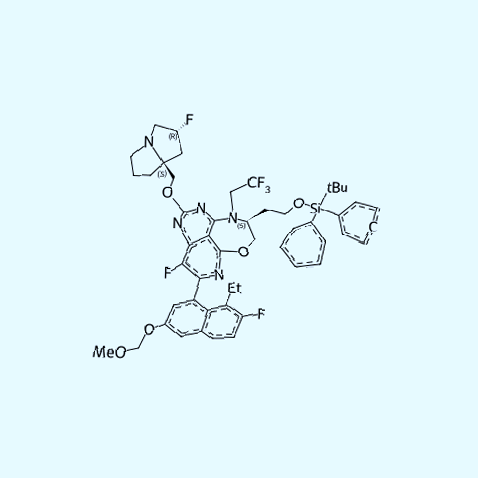 CCc1c(F)ccc2cc(OCOC)cc(-c3nc4c5c(nc(OC[C@@]67CCCN6C[C@H](F)C7)nc5c3F)N(CC(F)(F)F)[C@@H](CCO[Si](c3ccccc3)(c3ccccc3)C(C)(C)C)CO4)c12